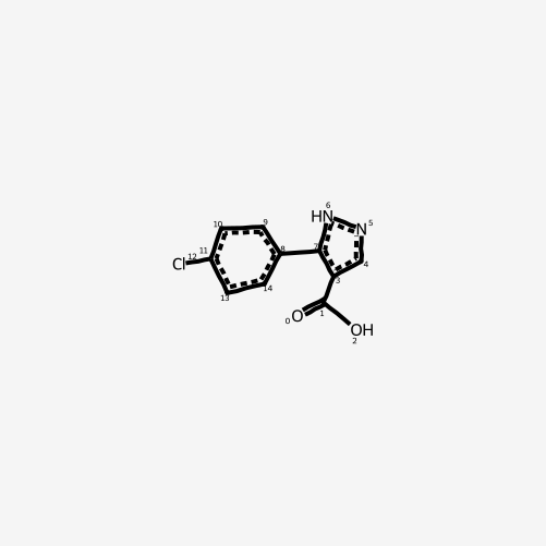 O=C(O)c1cn[nH]c1-c1ccc(Cl)cc1